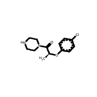 C[C@H](Oc1ccc(Cl)cc1)C(=O)N1CCNCC1